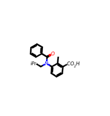 Cc1c(C(=O)O)cccc1N(CC(C)C)C(=O)c1ccccc1